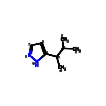 C[C](C)C(C)c1ccn[nH]1